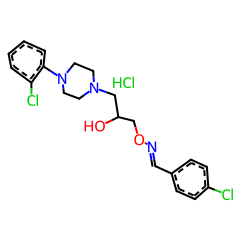 Cl.OC(CON=Cc1ccc(Cl)cc1)CN1CCN(c2ccccc2Cl)CC1